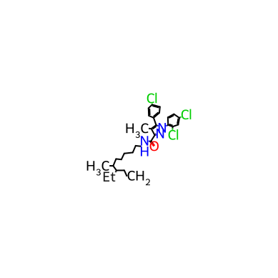 C=CCC(CC)C(C)CCCCCCNC(=O)c1nn(-c2ccc(Cl)cc2Cl)c(-c2ccc(Cl)cc2)c1C